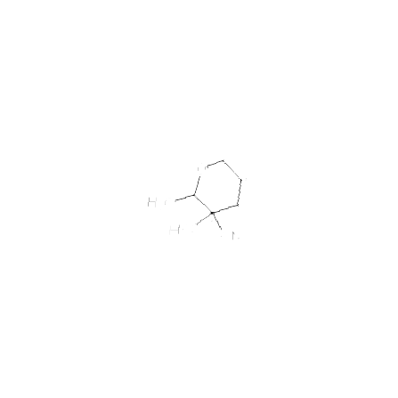 CC1OCCCC1(O)C#N